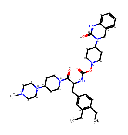 CCc1ccc(CC(NC(=O)ON2CCC(N3Cc4ccccc4NC3=O)CC2)C(=O)N2CCC(N3CCN(C)CC3)CC2)cc1CC